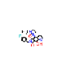 CN1CCCN(c2c3c(c(O)c4ncccc24)C(=O)N(Cc2ccc(F)cc2)C3)C1=O